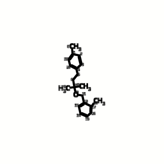 Cc1ccc([CH]CC(C)(C)OCc2ccccc2C)cc1